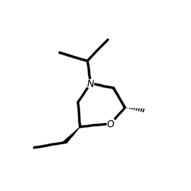 CC[C@H]1CN(C(C)C)C[C@H](C)O1